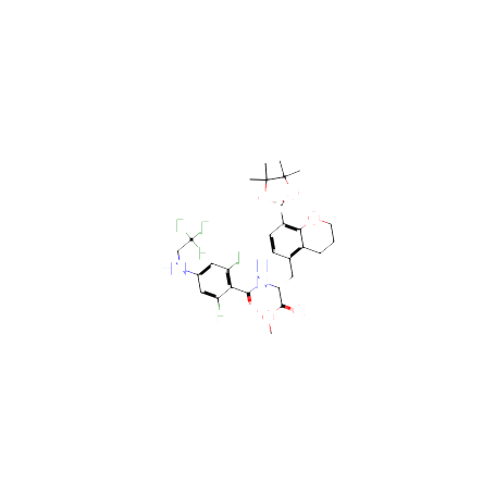 COC(=O)[C@H](Cc1ccc(B2OC(C)(C)C(C)(C)O2)c2c1CCCO2)NC(=O)c1c(F)cc(N[C@H](C)C(F)(F)F)cc1F